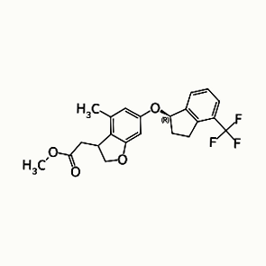 COC(=O)CC1COc2cc(O[C@@H]3CCc4c3cccc4C(F)(F)F)cc(C)c21